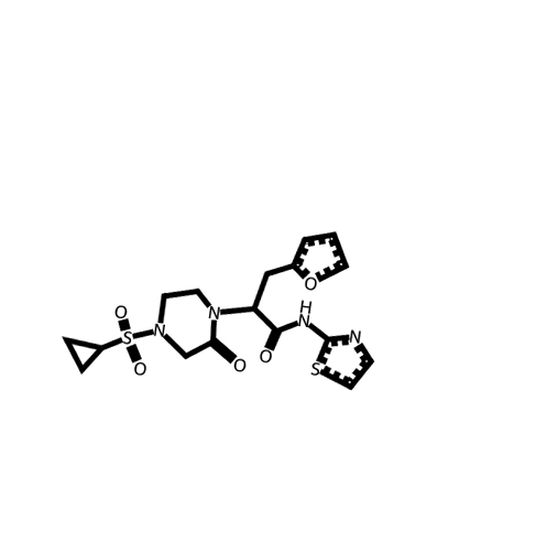 O=C(Nc1nccs1)C(Cc1ccco1)N1CCN(S(=O)(=O)C2CC2)CC1=O